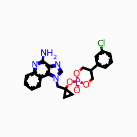 Nc1nc2ccccc2c2c1ncn2CC1(OP2(=O)OCC(c3cccc(Cl)c3)CO2)CC1